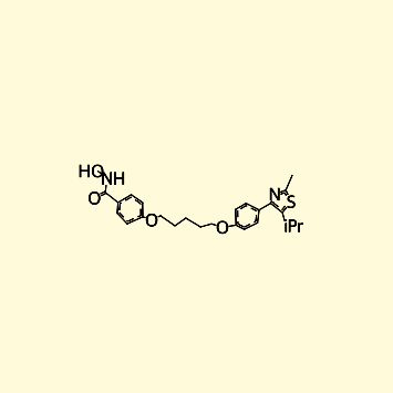 Cc1nc(-c2ccc(OCCCCCOc3ccc(C(=O)NO)cc3)cc2)c(C(C)C)s1